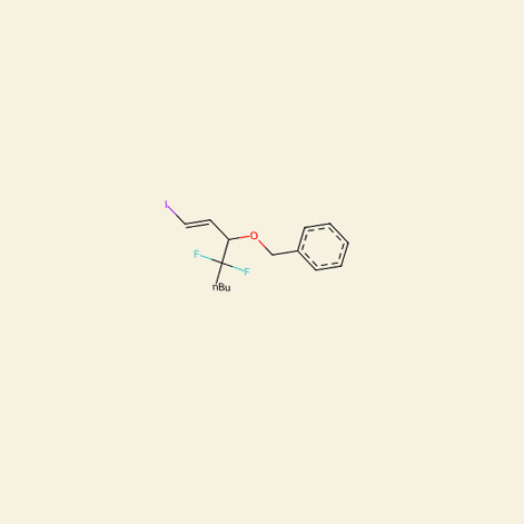 CCCCC(F)(F)C(/C=C/I)OCc1ccccc1